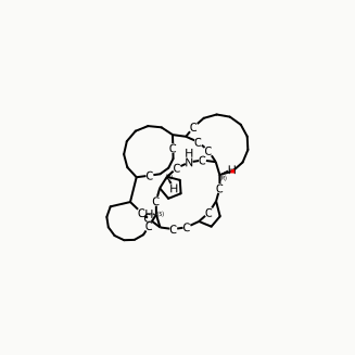 C1CCCCC2CCC3CNC[C@@H]4CCCC4C[C@@H]4CCCCCCCCC(CCC4CCC4CCC(C4)C[C@H]3CCCC1)C1CCCCCCC2CCCCC1